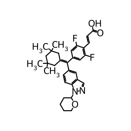 CC1(C)CC(=C(c2cc(F)c(C=CC(=O)O)c(F)c2)c2ccc3c(cnn3C3CCCCO3)c2)CC(C)(C)C1